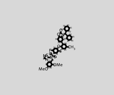 COc1ccc(CN(c2ncns2)S(=O)(=O)c2cc(F)c(Oc3ccc(C)cc3-c3ccc4oc(=O)n(C(c5ccccc5)c5ccccc5)c4c3)cc2F)c(OC)c1